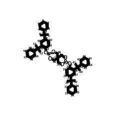 CC(C)(c1ccccc1)c1ccc(OP2OCC3(CO2)COP(Oc2ccc(C(C)(C)c4ccccc4)cc2C(C)(C)c2ccccc2)OC3)c(C(C)(C)c2ccccc2)c1